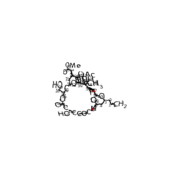 C=CC[C@H]1C[C@H]2CCOCC[C@@H](O)CC(=O)O[C@@H](CO)CC3C/C(=C\C(=O)OC)[C@H](OC(C)=O)[C@@](O)(O3)C(C)(C)/C=C/[C@H](O2)O1